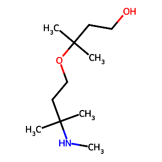 CNC(C)(C)CCOC(C)(C)CCO